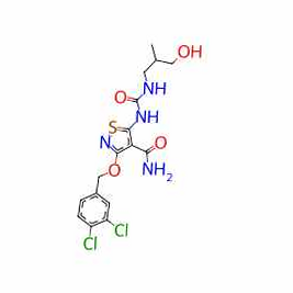 CC(CO)CNC(=O)Nc1snc(OCc2ccc(Cl)c(Cl)c2)c1C(N)=O